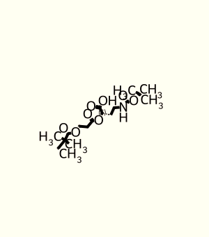 CCC(C)(C)C(=O)OCCC(=O)O[C@@H](CCNC(=O)OC(C)(C)C)C(=O)O